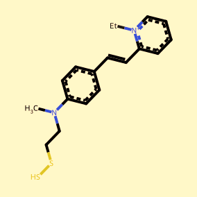 CC[n+]1ccccc1/C=C/c1ccc(N(C)CCSS)cc1